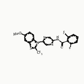 COc1ccc2c(c1)nc(C(F)(F)F)n2-c1cnc(NC(=O)c2c(F)cccc2F)cn1